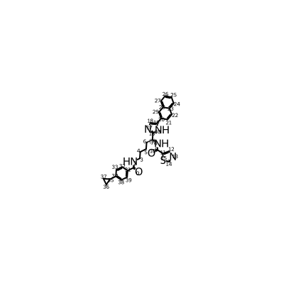 O=C(NCCCC[C@H](NC(=O)c1cncs1)c1ncc(-c2ccc3ccccc3c2)[nH]1)c1ccc(C2CC2)cc1